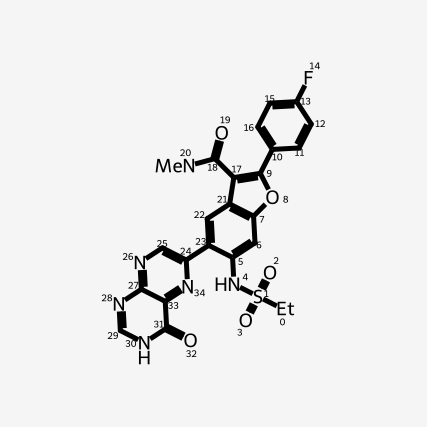 CCS(=O)(=O)Nc1cc2oc(-c3ccc(F)cc3)c(C(=O)NC)c2cc1-c1cnc2nc[nH]c(=O)c2n1